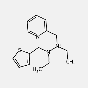 CCN(Cc1cccs1)[N+](CC)Cc1ccccn1